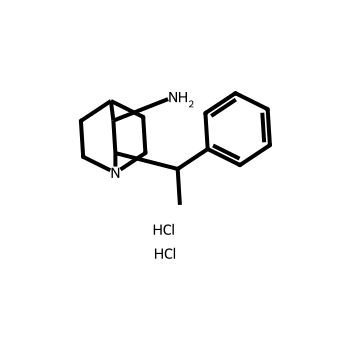 CC(c1ccccc1)C1C(N)C2CCN1CC2.Cl.Cl